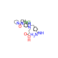 CN(C(=O)N1CCCCC1)c1ccc2c(c1)nc(Cc1ccc(C(=N)N)cc1)n2CCCC(=O)O.Cl